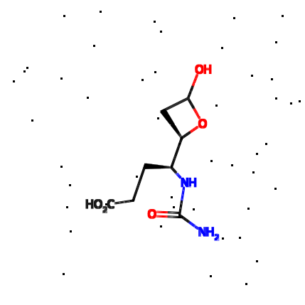 NC(=O)N[C@@H](CCC(=O)O)[C@H]1CC(O)O1